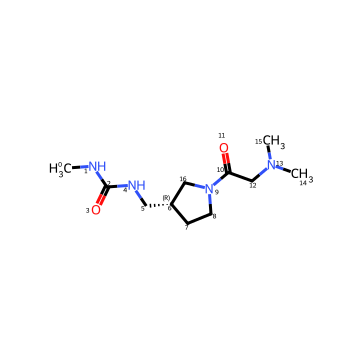 CNC(=O)NC[C@H]1CCN(C(=O)CN(C)C)C1